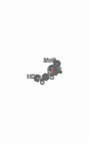 COC1=CC=CC(C2CCCCC2)(n2nc(C)c3cc(C(=O)Nc4ccc(C(=O)N5CCC(O)CC5)cc4)sc32)C1